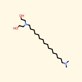 CN(C)CCCCCCCCCCCCCCCCN(CCO)CCO